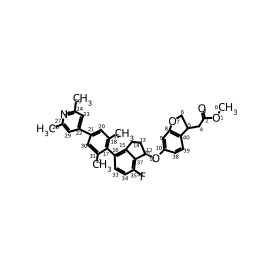 COC(=O)CC1COc2cc(O[C@@H]3CCc4c(-c5c(C)cc(-c6cc(C)nc(C)c6)cc5C)ccc(F)c43)ccc21